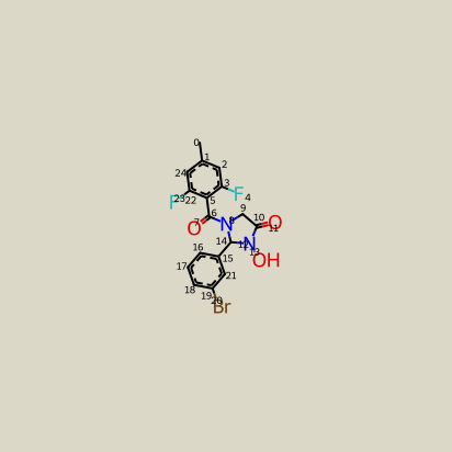 Cc1cc(F)c(C(=O)N2CC(=O)N(O)C2c2cccc(Br)c2)c(F)c1